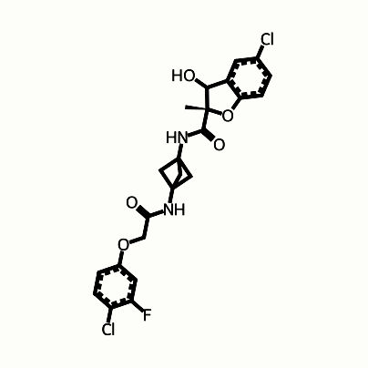 C[C@]1(C(=O)NC23CC(NC(=O)COc4ccc(Cl)c(F)c4)(C2)C3)Oc2ccc(Cl)cc2C1O